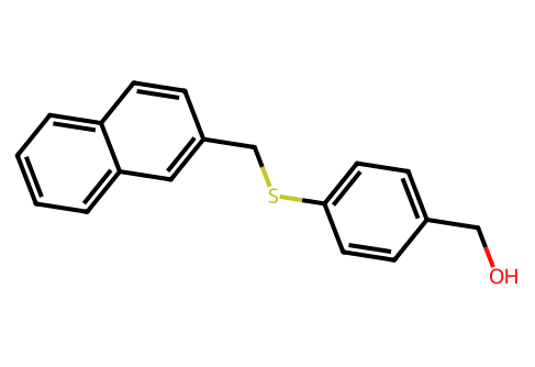 OCc1ccc(SCc2ccc3ccccc3c2)cc1